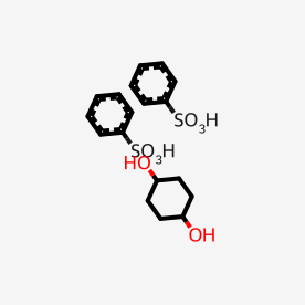 O=S(=O)(O)c1ccccc1.O=S(=O)(O)c1ccccc1.OC1CCC(O)CC1